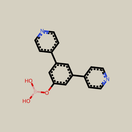 OB(O)Oc1cc(-c2ccncc2)cc(-c2ccncc2)c1